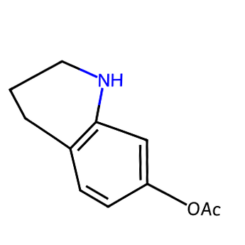 CC(=O)Oc1ccc2c(c1)NCCC2